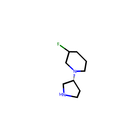 FC1CCCN([C@@H]2CCNC2)C1